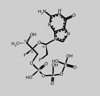 C[C@H](O)[C@@](F)(COP(=O)(O)OP(=O)(O)OP(=O)(O)O)O[C@H](CF)n1cnc2c(=O)[nH]c(N)nc21